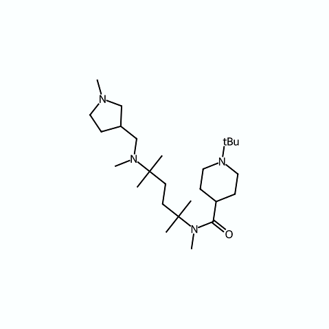 CN1CCC(CN(C)C(C)(C)CCC(C)(C)N(C)C(=O)C2CCN(C(C)(C)C)CC2)C1